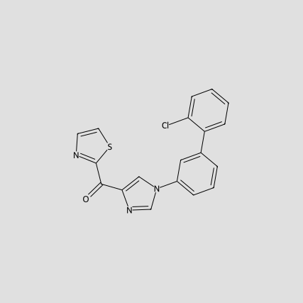 O=C(c1cn(-c2cccc(-c3ccccc3Cl)c2)cn1)c1nccs1